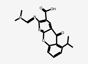 CC(C)c1cccc2oc3nc(/N=C/N(C)C)c(C(=O)O)cc3c(=O)c12